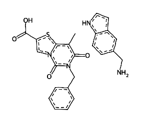 Cc1c(=O)n(Cc2ccccc2)c(=O)n2cc(C(=O)O)sc12.NCc1ccc2[nH]ccc2c1